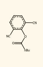 CCCCC(=O)Oc1c(C#N)cccc1C#N